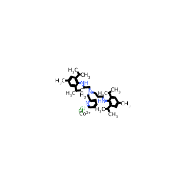 Cc1cc(C(C)C)c(NCCCN(CCNc2c(C(C)C)cc(C)cc2C(C)C)Cc2ccccn2)c(C(C)C)c1.[Cl-].[Cl-].[Co+2]